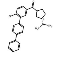 CN(C)[C@H]1CCN(C(=O)c2ccc(Cl)c(-c3ccc(-c4ccccc4)cc3)c2)C1